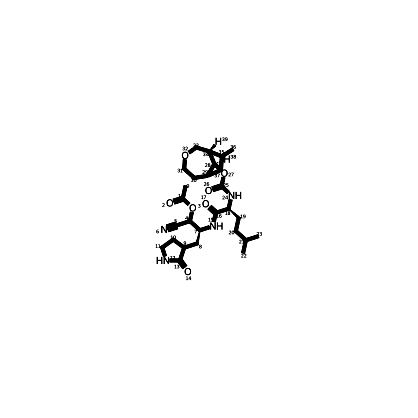 CC(=O)OC(C#N)[C@H](CC1CCNC1=O)NC(=O)[C@H](CCC(C)C)NC(=O)O[C@H]1C2CCOC[C@@H]1C(C)C2